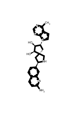 Cc1ncnc2c1ccn2[C@@H]1C[C@@]2(CN[C@@H](c3ccc4ccc(N)nc4c3)C2)[C@@H](O)[C@H]1O